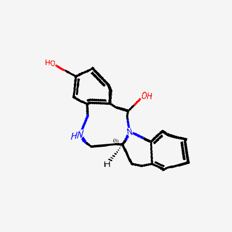 Oc1ccc2c(c1)NC[C@@H]1Cc3ccccc3N1C2O